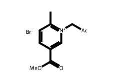 COC(=O)c1ccc(C)[n+](CC(C)=O)c1.[Br-]